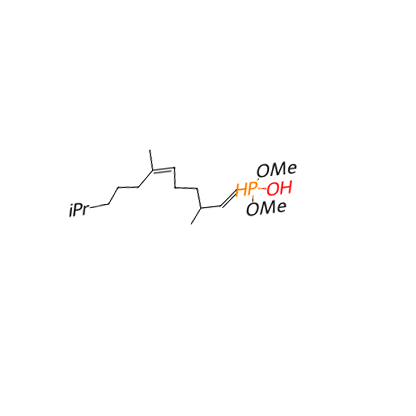 CO[PH](O)(C=CC(C)CCC=C(C)CCCC(C)C)OC